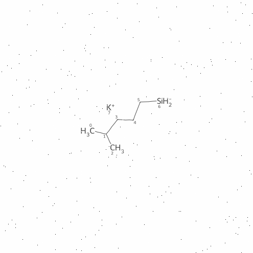 CC(C)CCC[SiH2-].[K+]